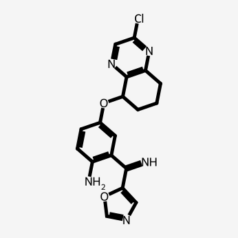 N=C(c1cnco1)c1cc(OC2CCCc3nc(Cl)cnc32)ccc1N